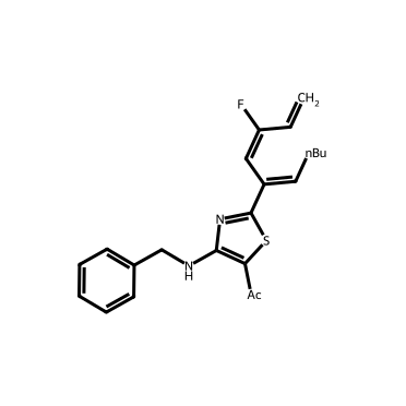 C=C/C(F)=C\C(=C/CCCC)c1nc(NCc2ccccc2)c(C(C)=O)s1